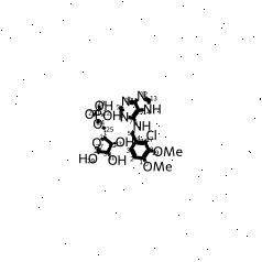 COc1ccc(CNc2ncnc3nc[nH]c23)c(Cl)c1OC.O=P(O)(O)OC[C@H]1OC(O)[C@H](O)[C@@H]1O